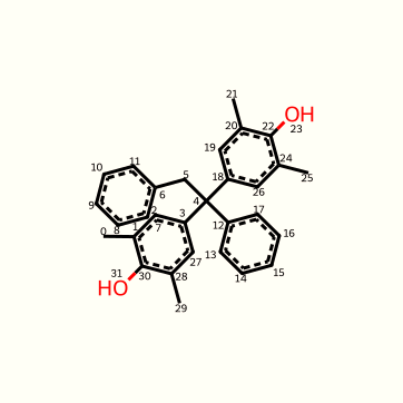 Cc1cc(C(Cc2ccccc2)(c2ccccc2)c2cc(C)c(O)c(C)c2)cc(C)c1O